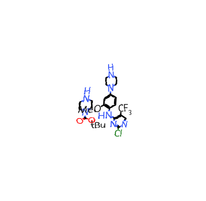 CC(C)(C)OC(=O)N1CCNCC1.COc1cc(N2CCNCC2)ccc1Nc1nc(Cl)ncc1C(F)(F)F